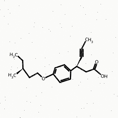 CC#C[C@@H](CC(=O)O)c1ccc(OCC[C@@H](C)CC)cc1